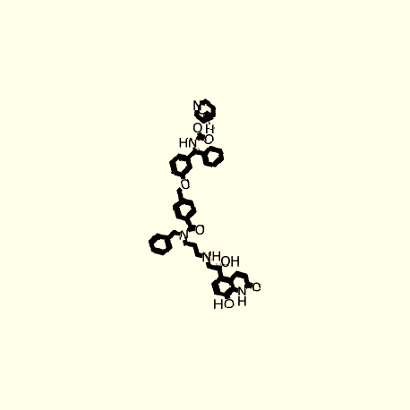 O=C(N[C@@H](c1ccccc1)c1cccc(OCc2ccc(C(=O)N(CCCNC[C@H](O)c3ccc(O)c4[nH]c(=O)ccc34)Cc3ccccc3)cc2)c1)O[C@H]1CN2CCC1CC2